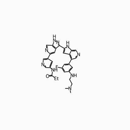 CCC(=O)Nc1cncc(-c2cc3c(-c4cc5c(-c6cc(F)cc(NCCN(C)C)c6)cncc5[nH]4)n[nH]c3cn2)c1